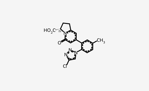 Cc1ccc(-n2cc(Cl)nn2)c(-c2cc3n(c(=O)c2)[C@H](C(=O)O)CC3)c1